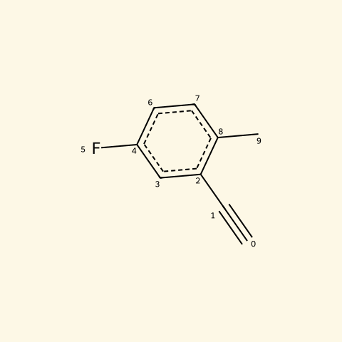 C#Cc1cc(F)ccc1C